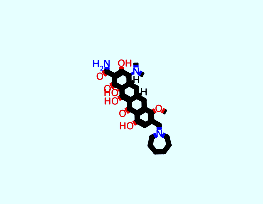 COc1c(CN2CCCCCC2)cc(O)c2c1C[C@H]1C[C@H]3[C@H](N(C)C)C(O)=C(C(N)=O)C(=O)[C@@]3(O)C(O)=C1C2=O